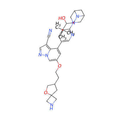 CC(C)(C)C(O)CN1C2CC1CN(c1ccc(-c3cc(OCCC4COC5(CNC5)C4)cn4ncc(C#N)c34)cn1)C2